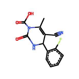 CC1=C(C#N)C(c2ccccc2F)NC(=O)N1C(=O)O